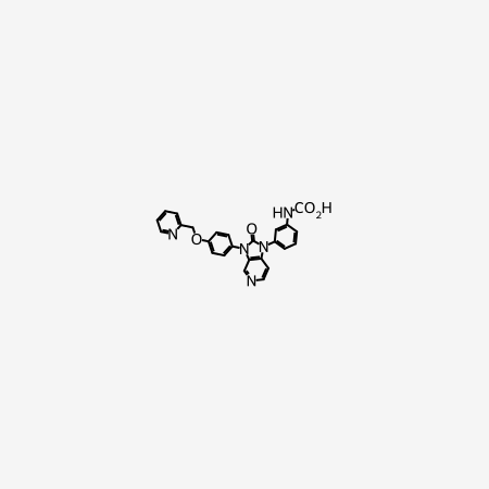 O=C(O)Nc1cccc(-n2c(=O)n(-c3ccc(OCc4ccccn4)cc3)c3cnccc32)c1